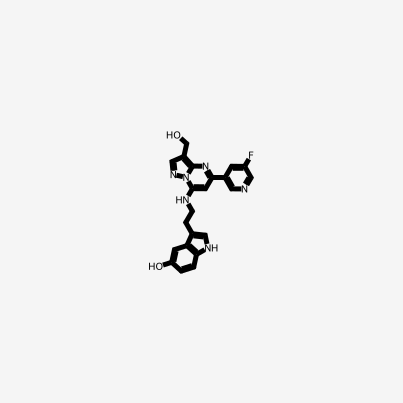 OCc1cnn2c(NCCc3c[nH]c4ccc(O)cc34)cc(-c3cncc(F)c3)nc12